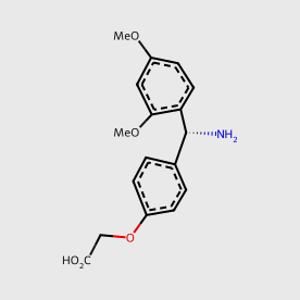 COc1ccc([C@H](N)c2ccc(OCC(=O)O)cc2)c(OC)c1